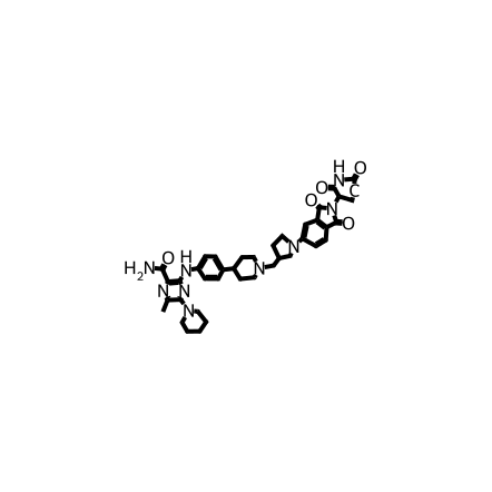 Cc1nc(C(N)=O)c(Nc2ccc(C3CCN(CC4CCN(c5ccc6c(c5)C(=O)N(C5CCC(=O)NC5=O)C6=O)C4)CC3)cc2)nc1N1CCCCC1